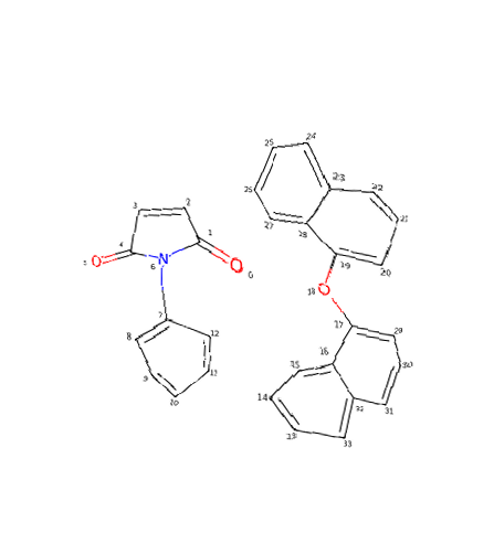 O=C1C=CC(=O)N1c1ccccc1.c1ccc2c(Oc3cccc4ccccc34)cccc2c1